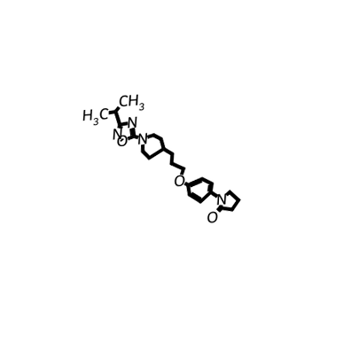 CC(C)c1noc(N2CCC(CCCOc3ccc(N4CCCC4=O)cc3)CC2)n1